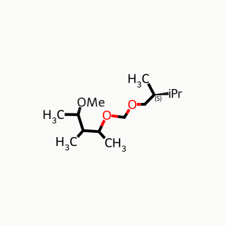 COC(C)C(C)C(C)OCOC[C@@H](C)C(C)C